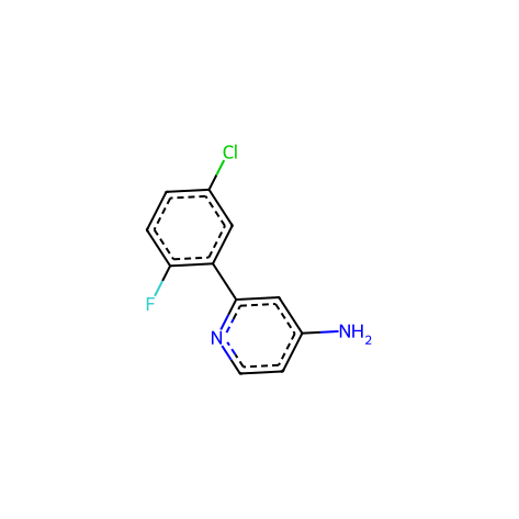 Nc1ccnc(-c2cc(Cl)ccc2F)c1